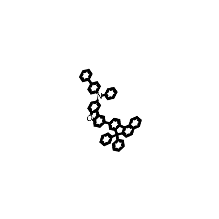 c1ccc(-c2ccc(N(c3ccccc3)c3ccc4oc5ccc(-c6ccc7c(c6)C(c6ccccc6)(c6ccccc6)c6ccc8ccccc8c6-7)cc5c4c3)cc2)cc1